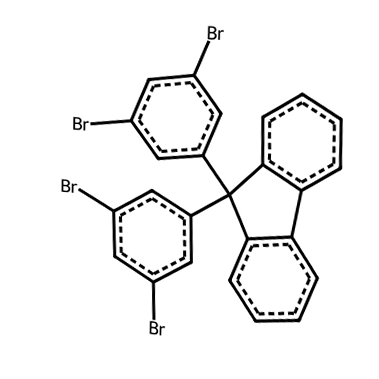 Brc1cc(Br)cc(C2(c3cc(Br)cc(Br)c3)c3ccccc3-c3ccccc32)c1